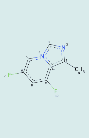 Cc1ncn2cc(F)cc(F)c12